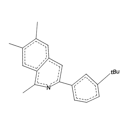 Cc1cc2cc(-c3cccc(C(C)(C)C)c3)nc(C)c2cc1C